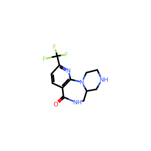 O=C1NCC2CNCCN2c2nc(C(F)(F)F)ccc21